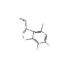 O=Cc1n[nH]c2c(F)c(Cl)cc(Br)c12